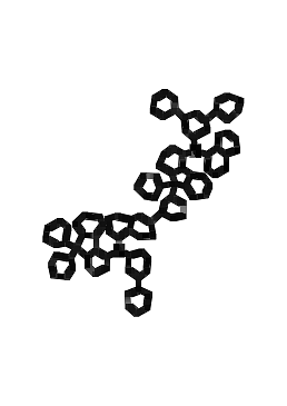 c1ccc(-c2cccc(N(c3cccc4c3-c3ccccc3C4(c3ccccc3)c3ccccc3)c3cccc4cc(-c5cccc(C6(c7ccccc7)c7ccccc7-c7c(N(c8cc(-c9ccccc9)cc(-c9ccccc9)c8)c8cccc9ccccc89)cccc76)c5)ccc34)c2)cc1